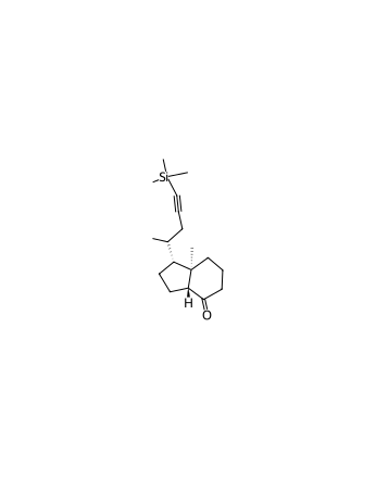 CC(CC#C[Si](C)(C)C)[C@H]1CC[C@H]2C(=O)CCC[C@]12C